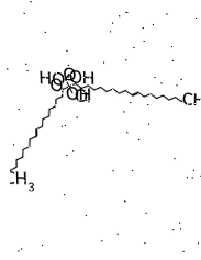 CCCCCCCCC=CCCCCCCCC(=O)C(O)C(O)(C(=O)O)C(=O)CCCCCCCC=CCCCCCCCC